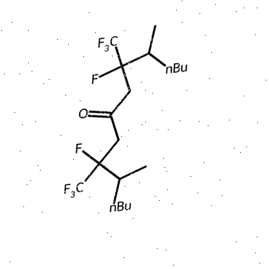 CCCCC(C)C(F)(CC(=O)CC(F)(C(C)CCCC)C(F)(F)F)C(F)(F)F